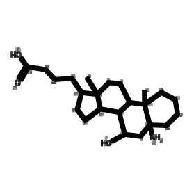 CC12CCC3C(C(O)CC4(N)CCCCC34C)C1CCC2CCCC(=O)O